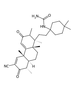 CC1C(=O)C=C2[C@@]3(C)C=C(C#N)C(=O)[C@@H](C)[C@@H]3CC[C@@]2(C)[C@]1(C)CCC1(NC(N)=O)CCC(C)(C)CC1